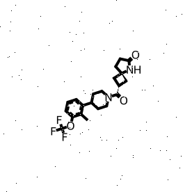 Cc1c(OC(F)(F)F)cccc1C1CCN(C(=O)[C@H]2C[C@]3(CCC(=O)N3)C2)CC1